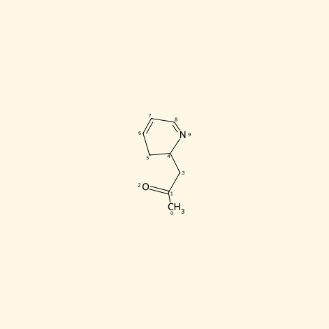 CC(=O)CC1CC=CC=N1